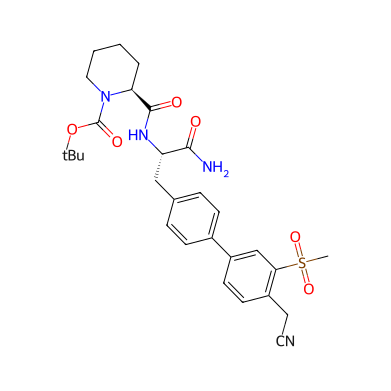 CC(C)(C)OC(=O)N1CCCC[C@H]1C(=O)N[C@@H](Cc1ccc(-c2ccc(CC#N)c(S(C)(=O)=O)c2)cc1)C(N)=O